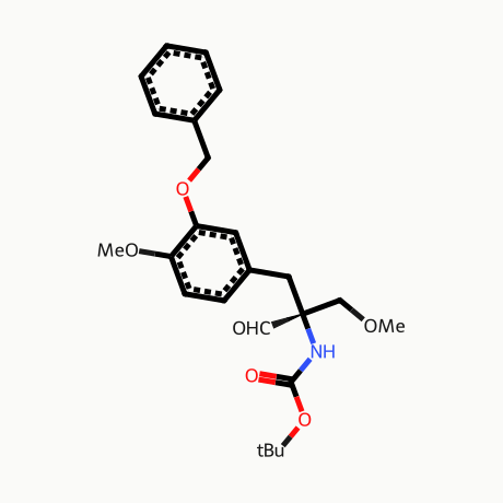 COC[C@@](C=O)(Cc1ccc(OC)c(OCc2ccccc2)c1)NC(=O)OC(C)(C)C